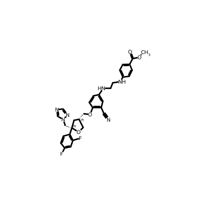 COC(=O)c1ccc(NCCNc2ccc(OC[C@@H]3CO[C@@](Cn4cncn4)(c4ccc(F)cc4F)C3)c(C#N)c2)cc1